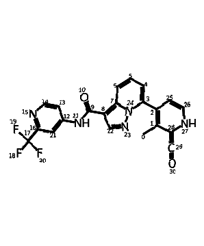 CC1=C(c2cccc3c(C(=O)Nc4ccnc(C(F)(F)F)c4)cnn23)C=CNC1=C=O